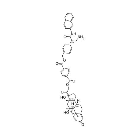 C[C@]12C=CC(=O)C=C1CC[C@@H]1[C@@H]2[C@@H](O)C[C@@]2(C)[C@H]1CC[C@]2(O)C(=O)COC(=O)c1ccc(C(=O)OCc2ccc([C@@H](CN)C(=O)Nc3ccc4ccccc4c3)cc2)cc1